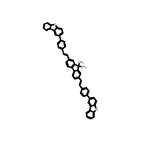 CC1(C)c2cc(/C=C/c3ccc(-c4ccc5oc6ccccc6c5c4)cc3)ccc2-c2ccc(/C=C/c3ccc(-c4ccc5oc6ccccc6c5c4)cc3)cc21